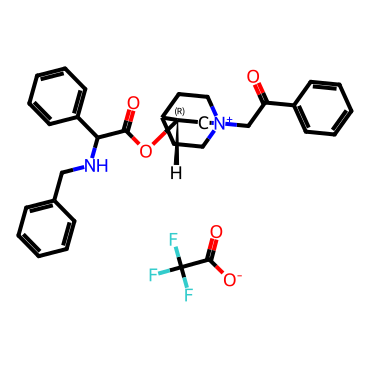 O=C(C[N+]12CCC(CC1)[C@@H](OC(=O)C(NCc1ccccc1)c1ccccc1)C2)c1ccccc1.O=C([O-])C(F)(F)F